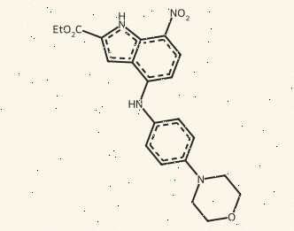 CCOC(=O)c1cc2c(Nc3ccc(N4CCOCC4)cc3)ccc([N+](=O)[O-])c2[nH]1